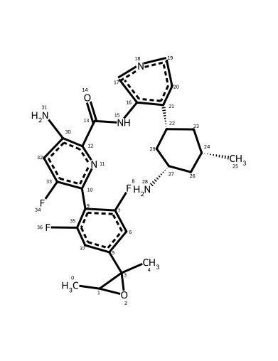 CC1OC1(C)c1cc(F)c(-c2nc(C(=O)Nc3cnccc3[C@@H]3C[C@H](C)C[C@H](N)C3)c(N)cc2F)c(F)c1